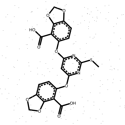 CSc1nc(Oc2ccc3c(c2C(=O)O)OCO3)cc(Oc2ccc3c(c2C(=O)O)OCO3)n1